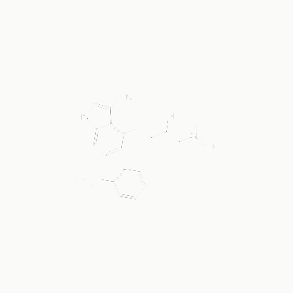 CC(C)NCC(O)COc1cccc2[nH]cc(C#N)c12.O=C(O)c1ccccc1